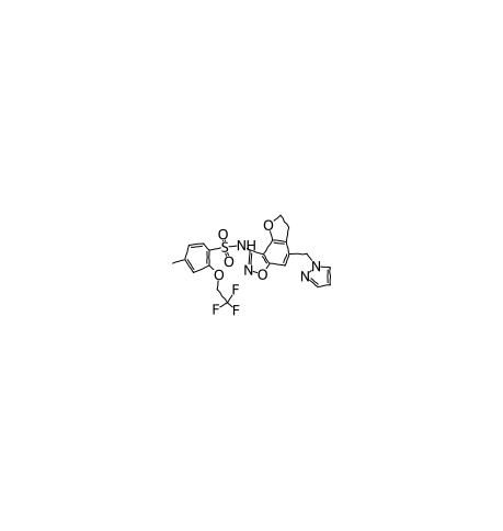 Cc1ccc(S(=O)(=O)Nc2noc3cc(Cn4cccn4)c4c(c23)OCC4)c(OCC(F)(F)F)c1